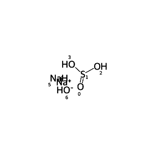 O=S(O)O.[Na+].[NaH].[OH-]